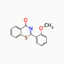 COc1ccccc1-c1nc(=O)c2ccccc2s1